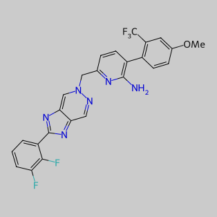 COc1ccc(-c2ccc(Cn3cc4nc(-c5cccc(F)c5F)nc-4cn3)nc2N)c(C(F)(F)F)c1